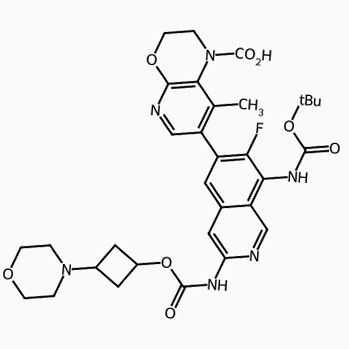 Cc1c(-c2cc3cc(NC(=O)OC4CC(N5CCOCC5)C4)ncc3c(NC(=O)OC(C)(C)C)c2F)cnc2c1N(C(=O)O)CCO2